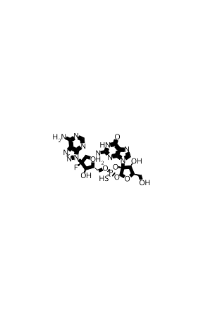 Nc1nc2c(ncn2[C@@]2(OP(=O)(S)OC[C@H]3OC[C@@](F)(n4nnc5c(N)ncnc54)[C@@H]3O)CO[C@H](CO)[C@H]2O)c(=O)[nH]1